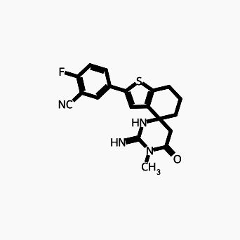 CN1C(=N)NC2(CCCc3sc(-c4ccc(F)c(C#N)c4)cc32)CC1=O